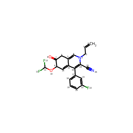 C=CCN1C=C2CC(=O)C(OC(F)F)C=C2C(c2cccc(F)c2)=C1C#N